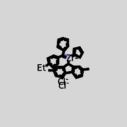 CCc1ccc(/[C](c2ccccc2)=[Zr+2](/[C]2=CC=CC2)[CH]2c3cc(C)ccc3-c3ccc(C)cc32)cc1.[Cl-].[Cl-]